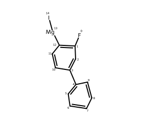 Fc1cc(-c2ccccc2)cc[c]1[Mg][I]